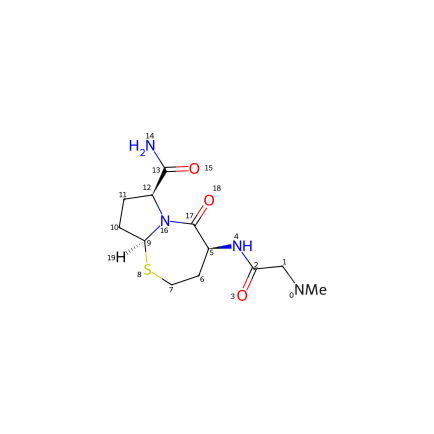 CNCC(=O)N[C@H]1CCS[C@H]2CC[C@@H](C(N)=O)N2C1=O